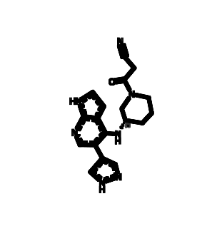 N#CCC(=O)N1CCC[C@H](Nc2c(-c3cn[nH]c3)cnc3[nH]ccc23)C1